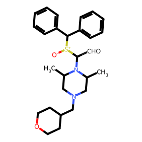 CC1CN(CC2CCOCC2)CC(C)N1C(C=O)[S+]([O-])C(c1ccccc1)c1ccccc1